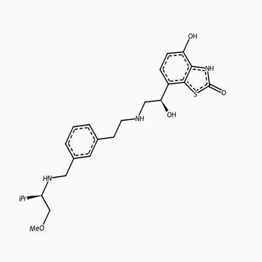 COC[C@H](NCc1cccc(CCNC[C@H](O)c2ccc(O)c3[nH]c(=O)sc23)c1)C(C)C